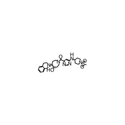 CS(=O)(=O)N1CCC(Nc2cc(C(=O)N3CC[C@@H](O)[C@H](N4CCc5ccccc5C4)CC3)ncn2)CC1